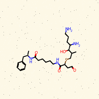 CC(Cc1ccccc1)NC(=O)CCCCCNC(=O)C(CC=O)SCC(C)C(O)C(N)CCCN